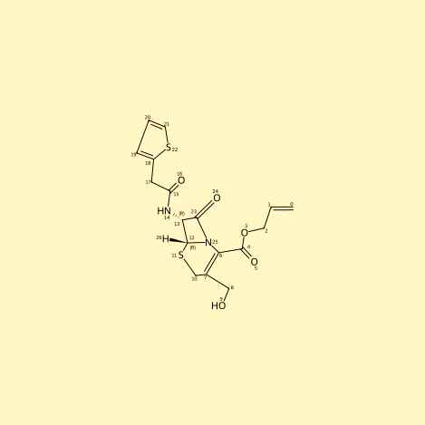 C=CCOC(=O)C1=C(CO)CS[C@@H]2[C@H](NC(=O)Cc3cccs3)C(=O)N12